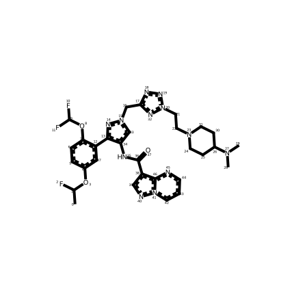 CC(F)Oc1ccc(OC(F)F)c(-c2nn(Cc3nnn(CCN4CCC(N(C)C)CC4)n3)cc2NC(=O)c2cnn3cccnc23)c1